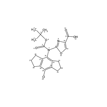 CC(C)(C)OC(=O)N(c1nc(C(=O)O)co1)c1c2c(c(Cl)c3c1CCC3)CCC2